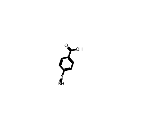 B=Bc1ccc(C(=O)O)cc1